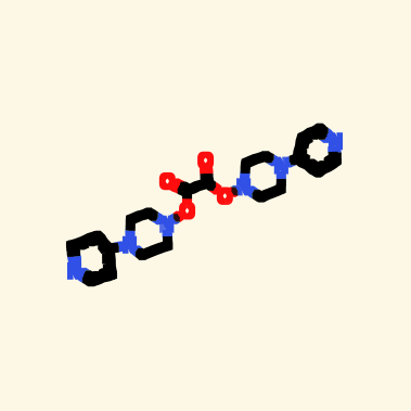 O=C(ON1CCN(c2ccncc2)CC1)C(=O)ON1CCN(c2ccncc2)CC1